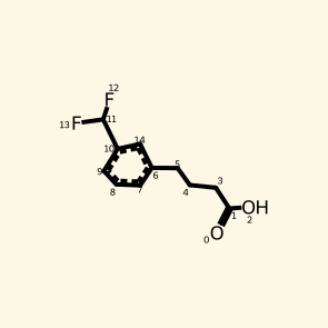 O=C(O)CCCc1cccc(C(F)F)c1